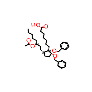 CCCCC[C@@H](CC[C@H]1CCC(OCc2ccccc2)(OCc2ccccc2)[C@@H]1CCCCCCC(=O)O)OC(C)=O